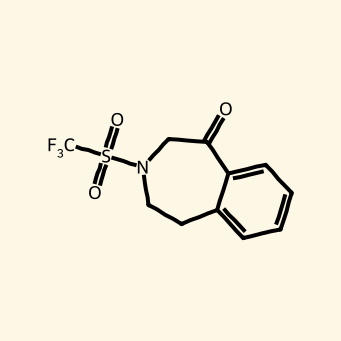 O=C1CN(S(=O)(=O)C(F)(F)F)CCc2ccccc21